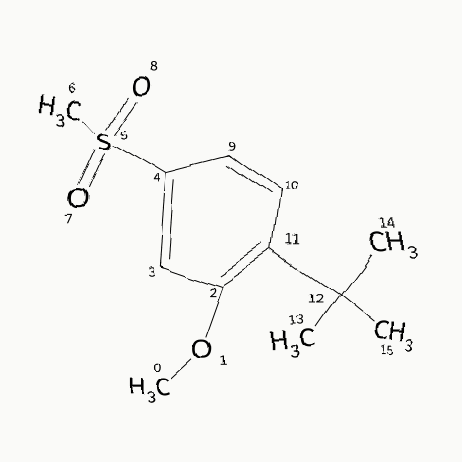 COc1cc(S(C)(=O)=O)ccc1C(C)(C)C